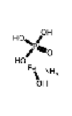 N.O=P(O)(O)O.[OH][Fe]